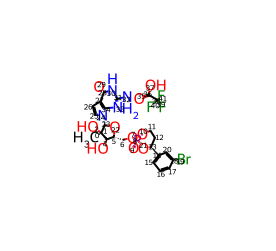 C[C@@]1(O)[C@H](O)[C@@H](CO[P@@]2(=O)OCC[C@@H](c3cccc(Br)c3)O2)O[C@H]1n1ccc2c(=O)[nH]c(N)nc21.O=C(O)C(F)(F)F